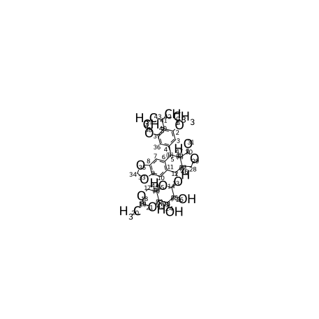 COc1cc([C@@H]2c3cc4c(cc3C(OC3O[C@@H]5CO[C@@H](C)O[C@H]5[C@H](O)[C@H]3O)[C@H]3COC(=O)[C@H]23)OCO4)cc(OC)c1C(C)C